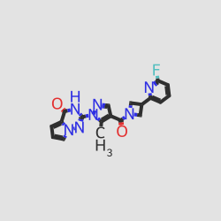 Cc1c(C(=O)N2CC(c3cccc(F)n3)C2)cnn1-c1nn2cccc2c(=O)[nH]1